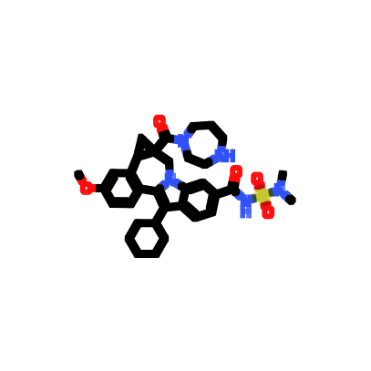 COc1ccc2c(c1)C1CC1(C(=O)N1CCCNCC1)Cn1c-2c(C2CCCCC2)c2ccc(C(=O)NS(=O)(=O)N(C)C)cc21